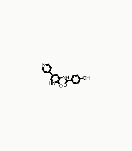 O=C(Nc1cc(-c2ccncc2)c[nH]c1=O)c1ccc(O)cc1